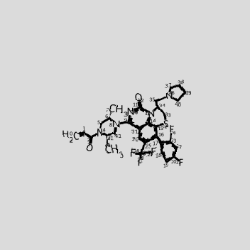 C=CC(=O)N1C[C@H](C)N(c2nc(=O)n3c4c(c(-c5ccc(F)cc5F)c(C(F)(F)F)cc24)SCC3CN2CCCC2)C[C@H]1C